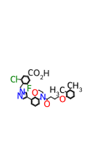 Cc1cccc(OCCCC(=O)N2CCOc3c(-c4cnn(Cc5c(F)cc(C(=O)O)cc5Cl)c4)cccc32)c1C